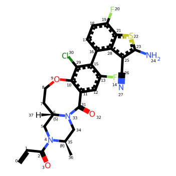 C=CC(=O)N1C[C@@H]2CCOc3c(cc(F)c(-c4ccc(F)c5sc(N)c(C#N)c45)c3Cl)C(=O)N2C[C@H]1C